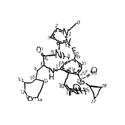 Cn1ccc(NC(=O)C(CC2CCOCC2)Nc2cc(F)cc(S(=O)(=O)C3CC3)c2C=N)n1